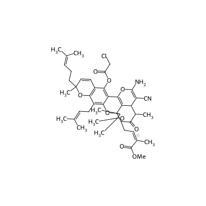 COC(=O)/C(C)=C\CC12OC(C)(C)C(C)C13Oc1c(CC=C(C)C)c4c(c(OC(=O)CCl)c1C1=C3C(C(C#N)=C(N)O1)C(C)C2=O)C=CC(C)(CCC=C(C)C)O4